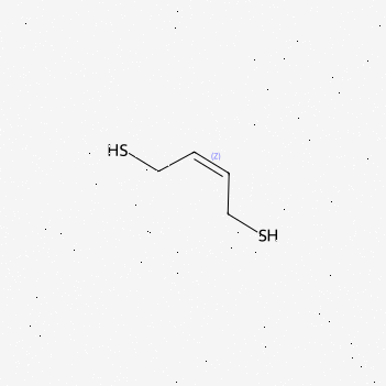 SC/C=C\CS